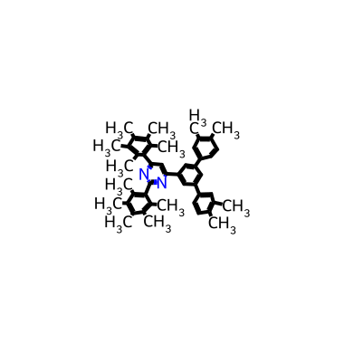 Cc1ccc(-c2cc(-c3ccc(C)c(C)c3)cc(-c3cc(-c4c(C)c(C)c(C)c(C)c4C)nc(-c4c(C)c(C)c(C)c(C)c4C)n3)c2)cc1C